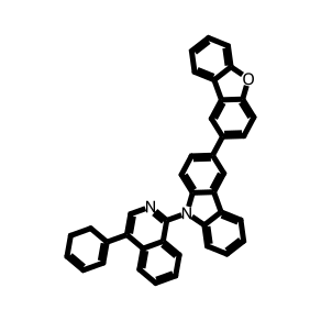 C1=CCCC(c2cnc(-n3c4ccccc4c4cc(-c5ccc6oc7ccccc7c6c5)ccc43)c3ccccc23)=C1